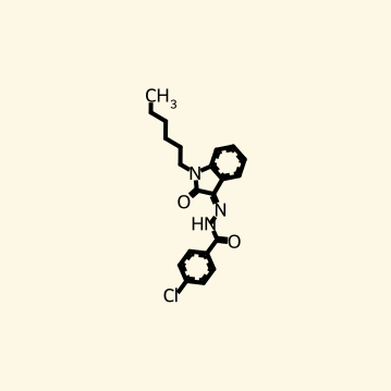 CCCCCCN1C(=O)C(=NNC(=O)c2ccc(Cl)cc2)c2ccccc21